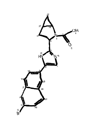 O=C(O)N1C(c2ncc(-c3ccc4cc(Br)ccc4c3)[nH]2)CC2CC21